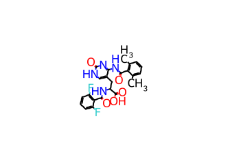 Cc1cccc(C)c1C(=O)Nc1nc(=O)[nH]cc1CC(NC(=O)c1c(F)cccc1F)C(=O)O